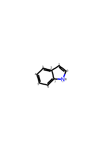 [C]1=Cc2ccccc2[N]1